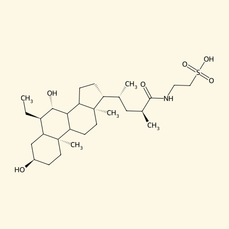 CC[C@@H]1C2C[C@H](O)CC[C@]2(C)C2CC[C@@]3(C)C(CC[C@@H]3[C@H](C)C[C@H](C)C(=O)NCCS(=O)(=O)O)C2[C@H]1O